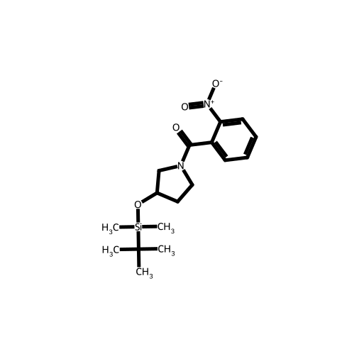 CC(C)(C)[Si](C)(C)OC1CCN(C(=O)c2ccccc2[N+](=O)[O-])C1